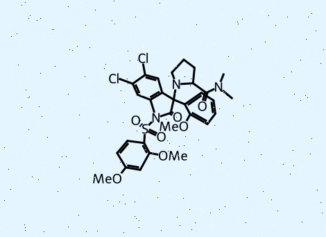 COc1ccc(S(=O)(=O)N2C(=O)C(c3ccccc3OC)(N3CCCC3C(=O)N(C)C)c3cc(Cl)c(Cl)cc32)c(OC)c1